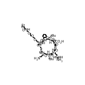 CCOCC(=O)NCCOCCOCCOCCNC(=O)[C@@H]1CSCC(=O)N[C@@H](CCCCN)C(=O)N[C@@H](CSC(C)(C)C)C(=O)N[C@@H](CCCNC(=N)N)C(=O)NCC(=O)N[C@@H](CC(=O)O)C(=O)N[C@@H](CSC(C)(C)C)C(=O)N[C@@H](Cc2ccccc2)C(=O)N1